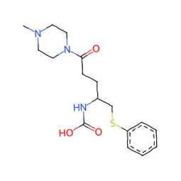 CN1CCN(C(=O)CCC(CSc2ccccc2)NC(=O)O)CC1